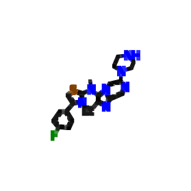 CCc1nc2cnc(N3CCNCC3)cn2c1N(C)c1nc(-c2ccc(F)cc2)cs1